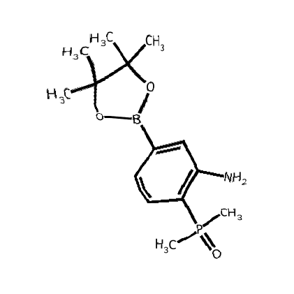 CC1(C)OB(c2ccc(P(C)(C)=O)c(N)c2)OC1(C)C